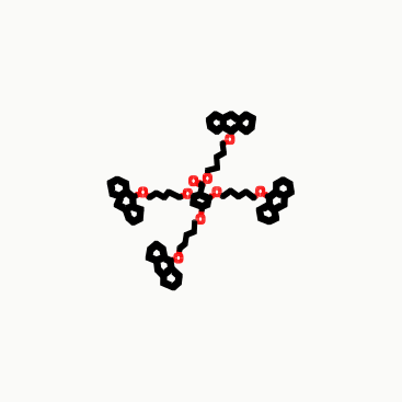 O=C(OCCCCCOc1c2ccccc2cc2ccccc12)c1c(OCCCCCOc2c3ccccc3cc3ccccc23)cc(OCCCCCOc2c3ccccc3cc3ccccc23)cc1OCCCCCOc1c2ccccc2cc2ccccc12